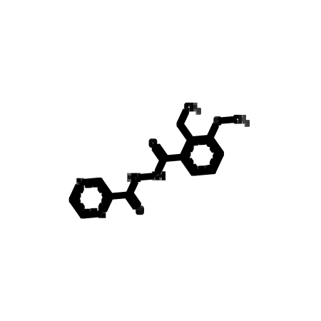 CCc1c(OC)cccc1C(=O)NNC(=O)c1cnccn1